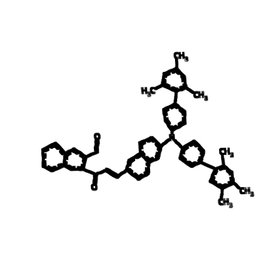 Cc1cc(C)c(-c2ccc(N(c3ccc(-c4cc(C)c(C)cc4C)cc3)c3ccc4cc(C=CC(=O)c5cc6ccccc6cc5C=O)ccc4c3)cc2)c(C)c1